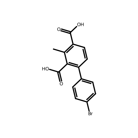 Cc1c(C(=O)O)ccc(-c2ccc(Br)cc2)c1C(=O)O